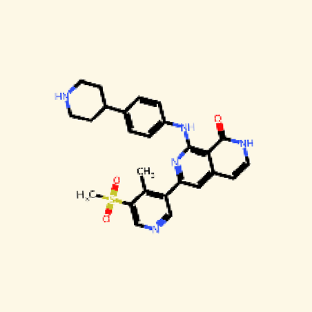 Cc1c(-c2cc3cc[nH]c(=O)c3c(Nc3ccc(C4CCNCC4)cc3)n2)cncc1S(C)(=O)=O